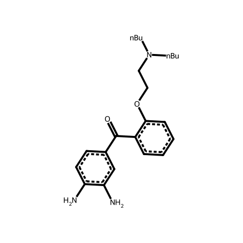 CCCCN(CCCC)CCOc1ccccc1C(=O)c1ccc(N)c(N)c1